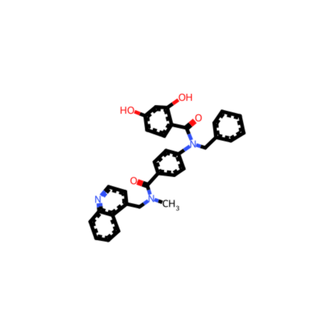 CN(Cc1ccnc2ccccc12)C(=O)c1ccc(N(Cc2ccccc2)C(=O)c2ccc(O)cc2O)cc1